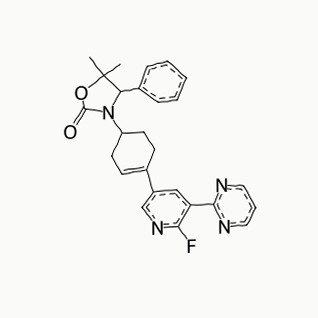 CC1(C)OC(=O)N(C2CC=C(c3cnc(F)c(-c4ncccn4)c3)CC2)C1c1ccccc1